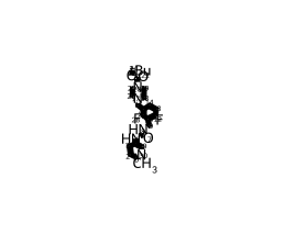 Cc1ccc(NC(=O)NCc2c(F)ccc(CN3CCN(C(=O)OC(C)(C)C)CC3)c2F)cn1